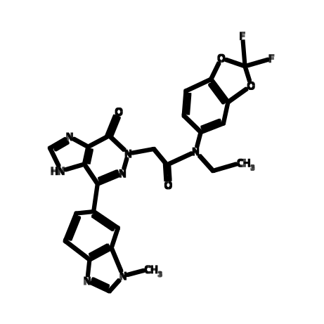 CCN(C(=O)Cn1nc(-c2ccc3ncn(C)c3c2)c2[nH]cnc2c1=O)c1ccc2c(c1)OC(F)(F)O2